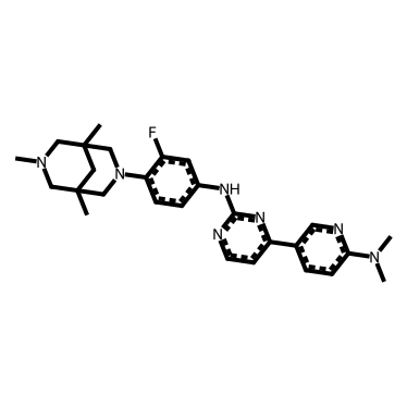 CN1CC2(C)CN(c3ccc(Nc4nccc(-c5ccc(N(C)C)nc5)n4)cc3F)CC(C)(C1)C2